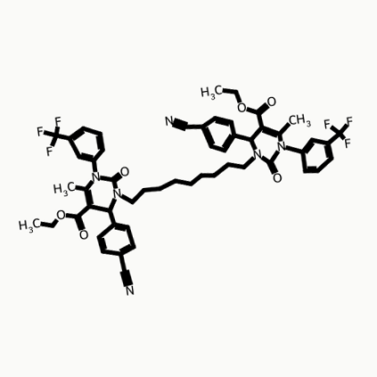 CCOC(=O)C1=C(C)N(c2cccc(C(F)(F)F)c2)C(=O)N(CCCCCCCCCN2C(=O)N(c3cccc(C(F)(F)F)c3)C(C)=C(C(=O)OCC)C2c2ccc(C#N)cc2)C1c1ccc(C#N)cc1